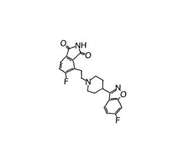 O=C1NC(=O)c2c1ccc(F)c2CCN1CCC(c2noc3cc(F)ccc23)CC1